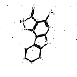 Cc1nc2sc3c(c2c2[nH][nH]c(=O)c12)CCCC3